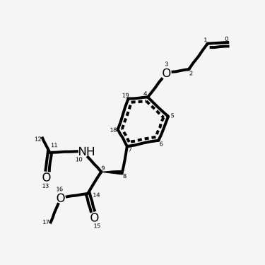 C=CCOc1ccc(C[C@H](NC(C)=O)C(=O)OC)cc1